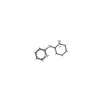 c1ccc(SC2CCCCN2)nc1